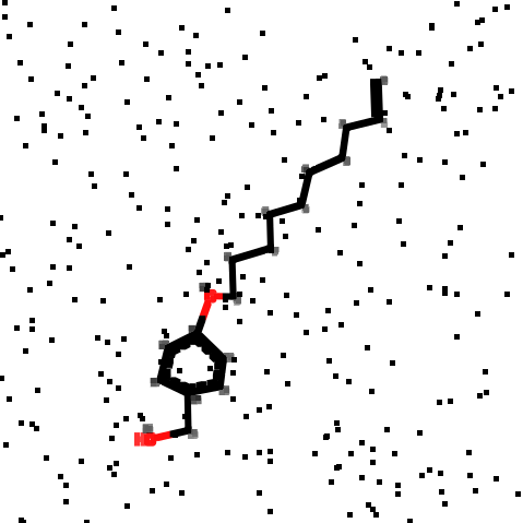 C=CCCCCCCCCOc1ccc(CO)cc1